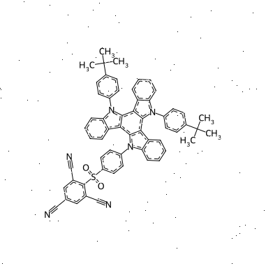 CC(C)(C)c1ccc(-n2c3ccccc3c3c2c2c4ccccc4n(-c4ccc(S(=O)(=O)c5c(C#N)cc(C#N)cc5C#N)cc4)c2c2c4ccccc4n(-c4ccc(C(C)(C)C)cc4)c32)cc1